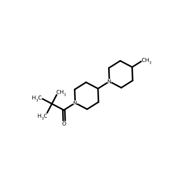 CC1CCN(C2CCN(C(=O)C(C)(C)C)CC2)CC1